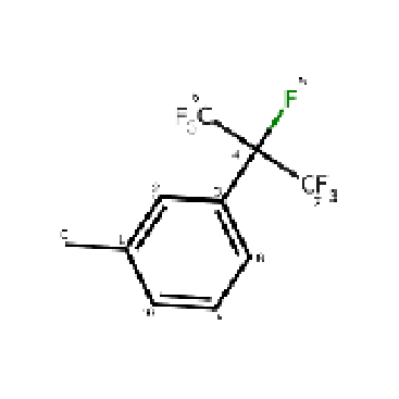 Cc1[c]c(C(F)(C(F)(F)F)C(F)(F)F)ccc1